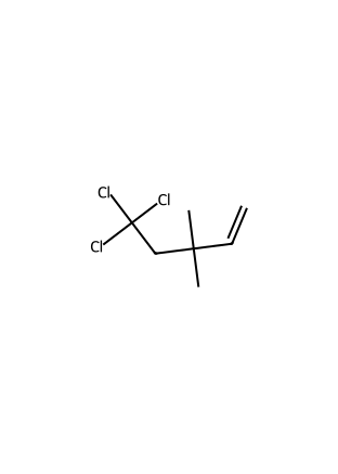 C=CC(C)(C)CC(Cl)(Cl)Cl